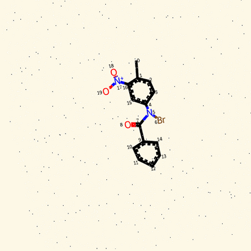 Cc1ccc(N(Br)C(=O)c2ccccc2)cc1[N+](=O)[O-]